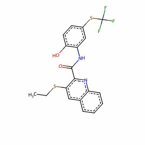 CCSc1cc2ccccc2nc1C(=O)Nc1cc(SC(F)(F)F)ccc1O